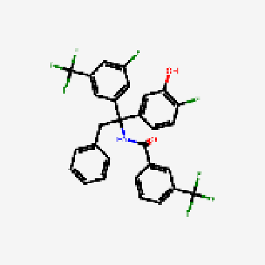 O=C(NC(Cc1ccccc1)(c1cc(F)cc(C(F)(F)F)c1)c1ccc(F)c(O)c1)c1cccc(C(F)(F)F)c1